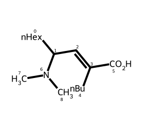 CCCCCCC(/C=C(\CCCC)C(=O)O)N(C)C